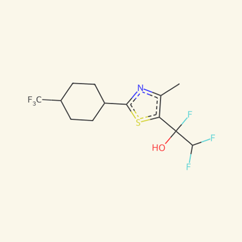 Cc1nc(C2CCC(C(F)(F)F)CC2)sc1C(O)(F)C(F)F